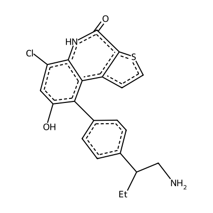 CCC(CN)c1ccc(-c2c(O)cc(Cl)c3[nH]c(=O)c4sccc4c23)cc1